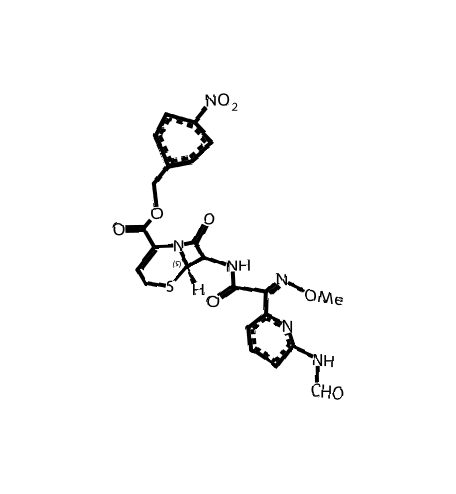 CON=C(C(=O)NC1C(=O)N2C(C(=O)OCc3ccc([N+](=O)[O-])cc3)=CCS[C@@H]12)c1cccc(NC=O)n1